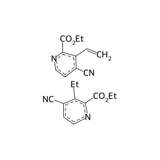 C=Cc1c(C#N)ccnc1C(=O)OCC.CCOC(=O)c1nccc(C#N)c1CC